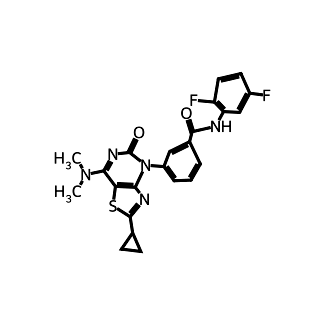 CN(C)c1nc(=O)n(-c2cccc(C(=O)Nc3cc(F)ccc3F)c2)c2nc(C3CC3)sc12